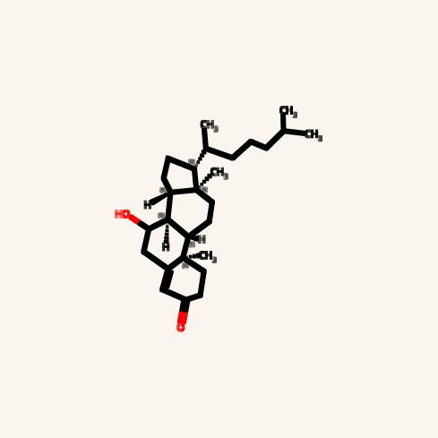 CC(C)CCCC(C)[C@H]1CC[C@H]2[C@@H]3C(O)CC4=CC(=O)CC[C@]4(C)[C@H]3CC[C@]12C